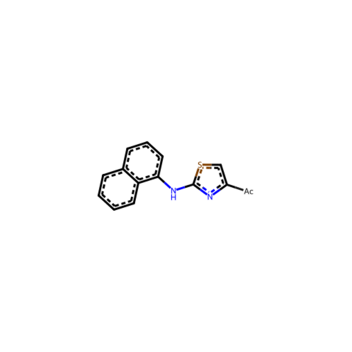 CC(=O)c1csc(Nc2cccc3ccccc23)n1